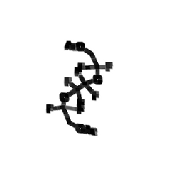 CC(=O)OCC(F)(F)OC(F)(F)C(F)(F)OC(F)(F)COC(C)=O